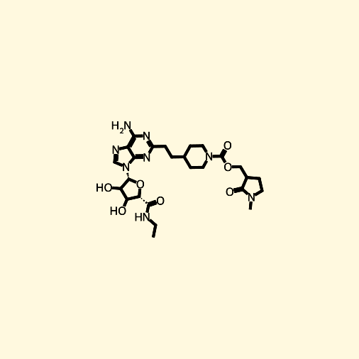 CCNC(=O)[C@H]1O[C@@H](n2cnc3c(N)nc(CCC4CCN(C(=O)OCC5CCN(C)C5=O)CC4)nc32)C(O)C1O